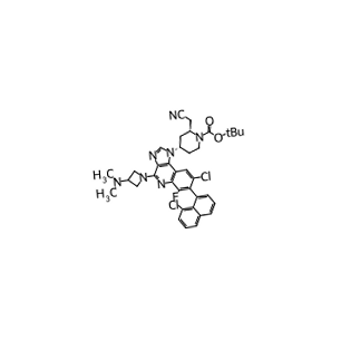 CN(C)C1CN(c2nc3c(F)c(-c4cccc5cccc(Cl)c45)c(Cl)cc3c3c2ncn3[C@H]2CCN(C(=O)OC(C)(C)C)[C@H](CC#N)C2)C1